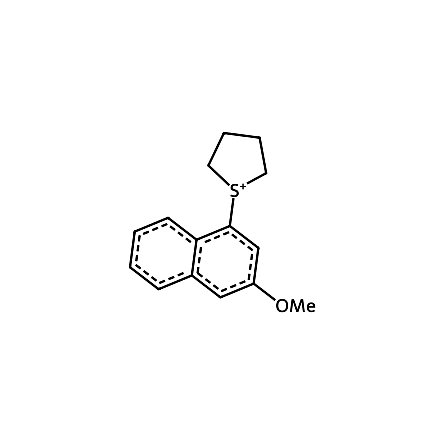 COc1cc([S+]2CCCC2)c2ccccc2c1